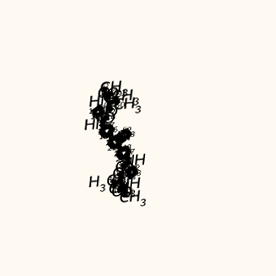 COC(=O)N[C@H](C(=O)N1CCC[C@H]1C(=O)Nc1ccc(-c2ccc(-c3ccc(NC(=O)[C@@H]4CCCN4C(=O)[C@@H](NC(=O)OC)C(C)C)cc3)c3c2C2CCC3O2)cc1)C(C)C